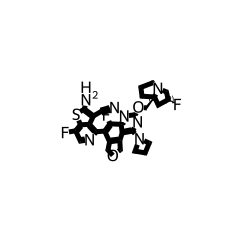 N#Cc1c(N)sc2c(F)cnc(-c3c4c(c5c(N6CCC6)nc(OC[C@@]67CCCN6C[C@H](F)C7)nc5c3F)COC4)c12